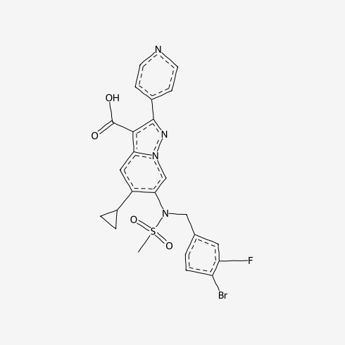 CS(=O)(=O)N(Cc1ccc(Br)c(F)c1)c1cn2nc(-c3ccncc3)c(C(=O)O)c2cc1C1CC1